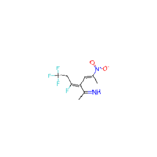 CC(=N)C(/C=C(\C)[N+](=O)[O-])=C(\F)CC(F)(F)F